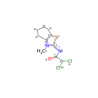 Cn1c2c(s/c1=N/C(=O)C(Cl)Cl)CCCC2